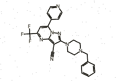 N#Cc1c(N2CCN(Cc3ccccc3)CC2)nn2c(-c3ccncc3)cc(C(F)(F)F)nc12